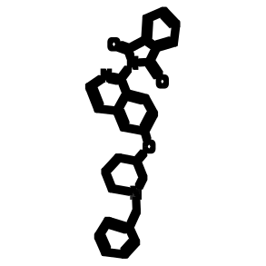 O=C1c2ccccc2C(=O)N1c1nccc2cc(OC3CCCN(Cc4ccccc4)C3)ccc12